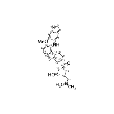 COc1cn2nccc2cc1Nc1ncnc2sc3c(c12)CC[C@H](C(=O)N(CCO)CCCN(C)C)C3